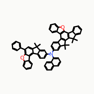 CC1(C)c2cc(N(c3ccc4c(c3)C(C)(C)c3c5c(c6oc7ccccc7c6c3-4)-c3ccccc3C5(C)C)c3cccc4ccccc34)ccc2-c2c1cc(-c1ccccc1)c1oc3ccccc3c21